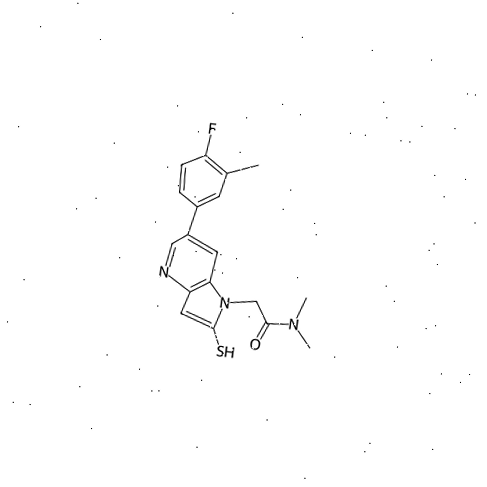 Cc1cc(-c2cnc3cc(S)n(CC(=O)N(C)C)c3c2)ccc1F